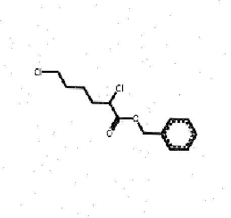 O=C(OCc1ccccc1)C(Cl)CCCCCl